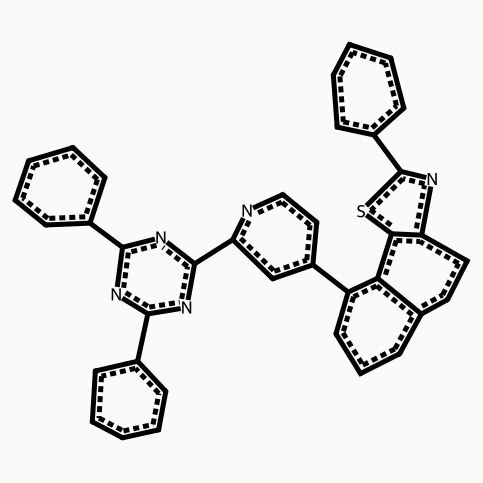 c1ccc(-c2nc(-c3ccccc3)nc(-c3cc(-c4cccc5ccc6nc(-c7ccccc7)sc6c45)ccn3)n2)cc1